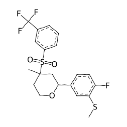 CSc1cc(C2CC(C)(S(=O)(=O)c3cccc(C(F)(F)F)c3)CCO2)ccc1F